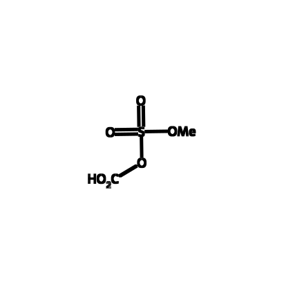 COS(=O)(=O)OC(=O)O